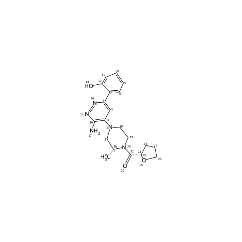 C[C@@H]1CN(c2cc(-c3ccccc3O)nnc2N)CCN1C(=O)[C@@H]1CCCO1